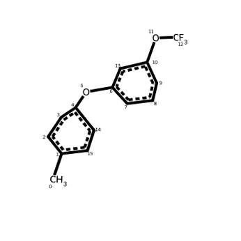 Cc1ccc(Oc2cccc(OC(F)(F)F)c2)cc1